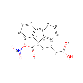 O=C(O)CCCC(C(=O)O[N+](=O)[O-])(c1ccccc1)c1ccccc1